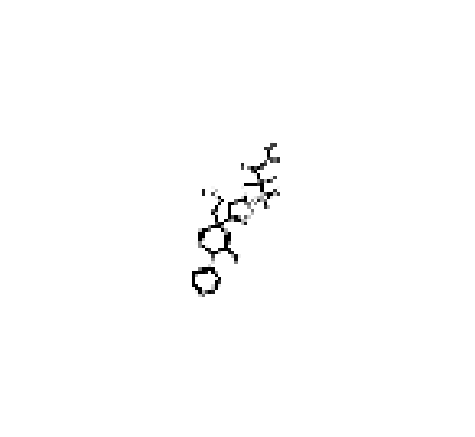 C[C@@](C[C@H]1CC(C2(CCO)C=CC(c3ccccc3)C(F)=C2)=NO1)(C(=O)NO)S(C)(=O)=O